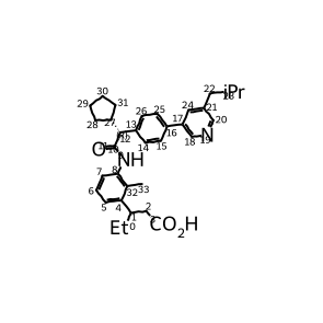 CCC(CC(=O)O)c1cccc(NC(=O)[C@@H](c2ccc(-c3cncc(CC(C)C)c3)cc2)C2CCCC2)c1C